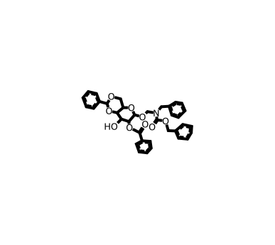 O=C(OC1C(OCN(Cc2ccccc2)C(=O)OCc2ccccc2)OC2COC(c3ccccc3)OC2C1O)c1ccccc1